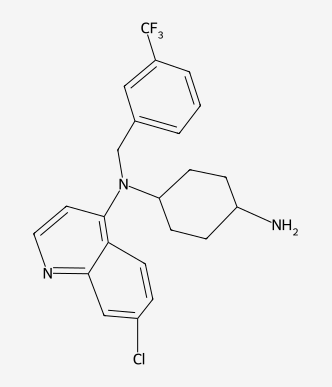 NC1CCC(N(Cc2cccc(C(F)(F)F)c2)c2ccnc3cc(Cl)ccc23)CC1